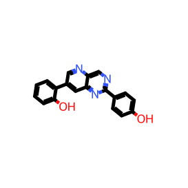 Oc1ccc(-c2ncc3ncc(-c4ccccc4O)cc3n2)cc1